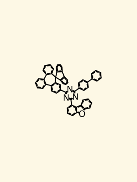 c1ccc(-c2ccc(-c3nc(-c4ccc5c(c4)C4(c6ccccc6-c6ccccc6-5)c5ccccc5-c5ccccc54)nc(-c4cccc5oc6ccccc6c45)n3)cc2)cc1